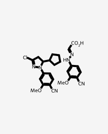 COc1cc(N2N=C(Cl)CC2C2CCCC2)ccc1C#N.COc1cc(NN=CC(=O)O)ccc1C#N